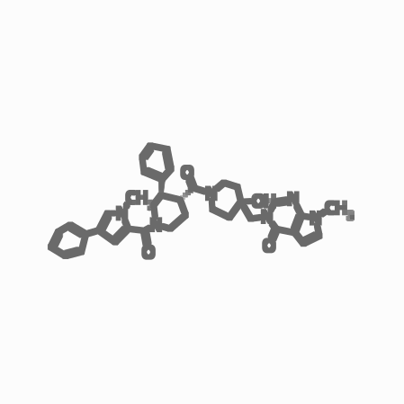 Cn1cc(-c2ccccc2)cc1C(=O)N1CC[C@@H](C(=O)N2CCC(O)(Cn3cnc4c(ccn4C)c3=O)CC2)[C@H](c2ccccc2)C1